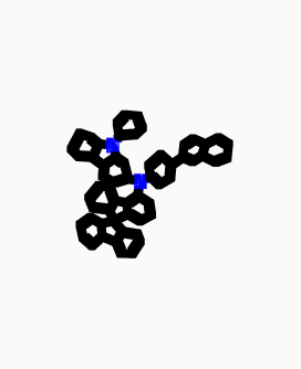 C1=CC2C=CC(c3ccc(N(c4ccc5c6ccccc6n(-c6ccccc6)c5c4)c4cccc5c4-c4ccccc4C54c5ccccc5C5C=CC=CC54)cc3)=CC2C=C1